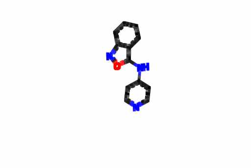 c1ccc2c(Nc3ccncc3)onc2c1